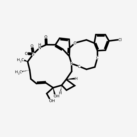 C[C@@H]1[C@@H](C)C/C=C/[C@@](O)(CO)[C@@H]2CC[C@H]2CN2CCCCc3cc(Cl)ccc3COc3ccc(cc32)C(=O)NS1(=O)=O